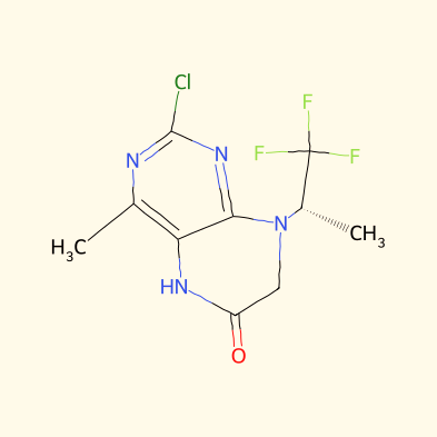 Cc1nc(Cl)nc2c1NC(=O)CN2[C@@H](C)C(F)(F)F